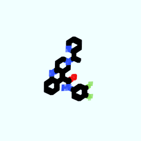 CC(c1ccccn1)N1CCc2nc3ccccc3c(C(=O)Nc3ccc(F)c(F)c3)c2C1